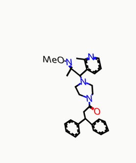 CON=C(C)C(c1cccnc1C)N1CCN(C(=O)CC(c2ccccc2)c2ccccc2)CC1